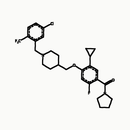 O=C(c1cc(C2CC2)c(OCC2CCN(Cc3cc(Cl)ccc3C(F)(F)F)CC2)cc1F)N1CCCC1